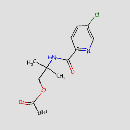 CC(C)(COC(=O)C(C)(C)C)NC(=O)c1ccc(Cl)cn1